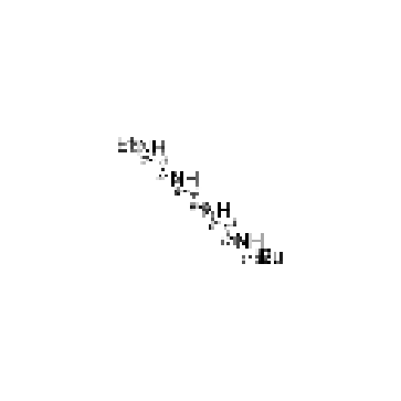 CCNCCCNCCCNCCCNC[C@@H](C)CC